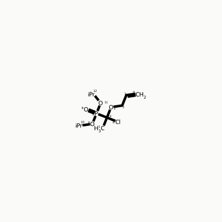 C=CCOC(C)(Cl)P(=O)(OC(C)C)OC(C)C